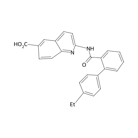 CCc1ccc(-c2ccccc2C(=O)Nc2ccc3cc(C(=O)O)ccc3n2)cc1